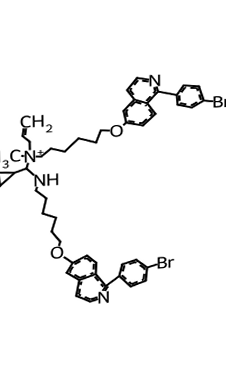 C=CC[N+](C)(CCCCCCOc1ccc2c(-c3ccc(Br)cc3)nccc2c1)C(NCCCCCCOc1ccc2c(-c3ccc(Br)cc3)nccc2c1)C1CC1